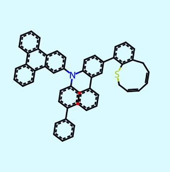 C1=C\CSc2c(cccc2-c2ccc(N(c3ccc(-c4ccccc4)cc3)c3ccc4c5ccccc5c5ccccc5c4c3)c(-c3ccccc3)c2)C\C=C/1